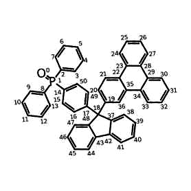 O=P(c1ccccc1)(c1ccccc1)c1ccc(C2(c3ccc4c5ccccc5c5ccccc5c4c3)c3ccccc3-c3ccccc32)cc1